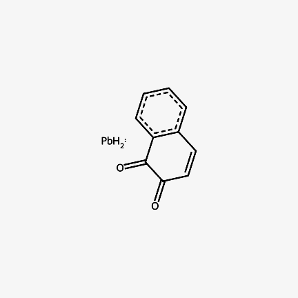 O=C1C=Cc2ccccc2C1=O.[PbH2]